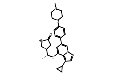 C[C@@H](Oc1cc(-c2ccc(N3CCN(C)CC3)cn2)cn2ncc(C3CC3)c12)[C@H]1CNC(=O)C1